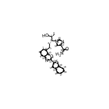 C[C@H](O)[C@@H](CCc1cccc2nc(-c3cc4ccccc4s3)oc12)n1cnc(C(N)=O)c1